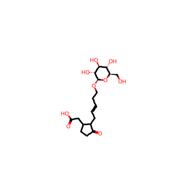 O=C(O)CC1CCC(=O)C1CC=CCCO[C@@H]1O[C@H](CO)[C@@H](O)[C@H](O)[C@H]1O